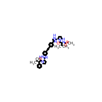 COC(=O)N[C@H](C(=O)N1CCC[C@H]1c1nc(-c2ccc(C#Cc3ccc4[nH]c([C@@H]5CCCN5C(=O)[C@@H](c5ccccc5)C(C)C)nc4c3)cc2)c[nH]1)C(C)C